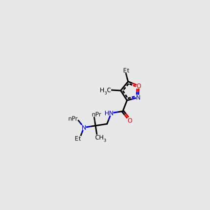 CCCN(CC)C(C)(CCC)CNC(=O)c1noc(CC)c1C